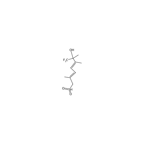 C/C(=C\C=C(/C)C(C)(O)C(F)(F)F)C[SH](=O)=O